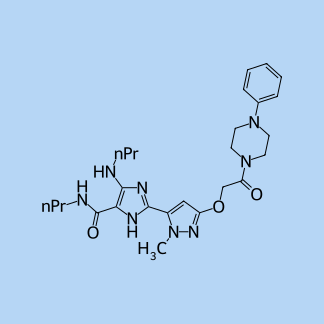 CCCNC(=O)c1[nH]c(-c2cc(OCC(=O)N3CCN(c4ccccc4)CC3)nn2C)nc1NCCC